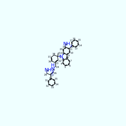 CC1(n2c3ccccc3c3cc(-c4ccccc4)c(N)cc32)C=C(CN/C=C(\CN)c2ccccc2)C=CC1